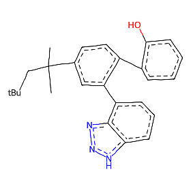 CC(C)(C)CC(C)(C)c1ccc(-c2ccccc2O)c(-c2cccc3[nH]nnc23)c1